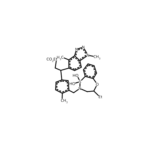 CCOC(=O)CC(c1ccc(C)c(CN2CC(CC)Oc3ccccc3S2(O)O)c1)c1ccc2c(nnn2C)c1C